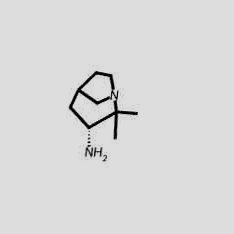 CC1(C)[C@H](N)CC2CCN1C2